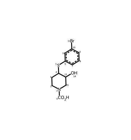 O=C(O)N1CCC(Sc2cccc(Br)c2)C(O)C1